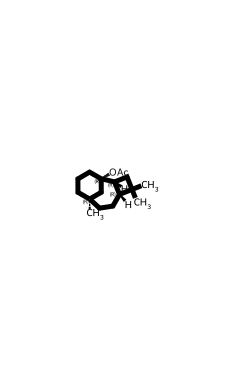 CC(=O)O[C@@]12CCC[C@](C)(CC[C@@H]3[C@H]1CC3(C)C)C2